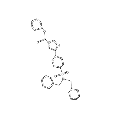 O=C(Oc1ccccc1)n1cnc(-c2ccc(S(=O)(=O)N(Cc3ccccc3)Cc3ccccc3)cc2)c1